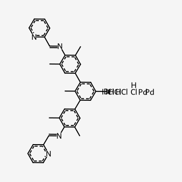 Cc1cc(-c2cc(Br)cc(-c3cc(C)c(N=Cc4ccccn4)c(C)c3)c2C)cc(C)c1N=Cc1ccccn1.Cl.Cl.Cl.Cl.[Pd].[Pd]